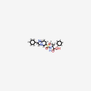 C[C@@H]1[C@H](c2ccccc2)[C@]1(NS(=O)(=O)c1ccc2nc(-c3ccccc3)cn2c1)C(=O)O